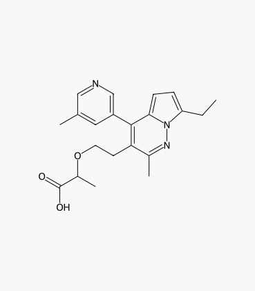 CCc1ccc2c(-c3cncc(C)c3)c(CCOC(C)C(=O)O)c(C)nn12